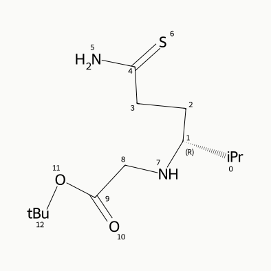 CC(C)[C@@H](CCC(N)=S)NCC(=O)OC(C)(C)C